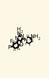 Nc1nc(N2CCC[C@H](N)C2)c2oc3ccc(F)c(F)c3c2n1